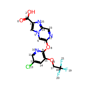 O=C(O)c1cn2cc(Oc3ncc(Cl)cc3OCC(F)(F)F)ncc2n1